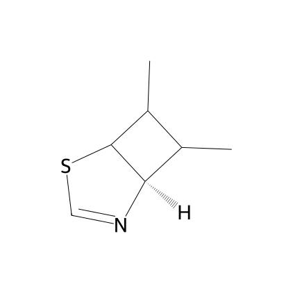 CC1C(C)[C@H]2N=CSC12